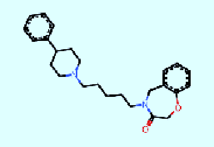 O=C1COc2ccccc2CN1CCCCCN1CCC(c2ccccc2)CC1